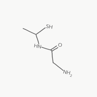 CC(S)NC(=O)CN